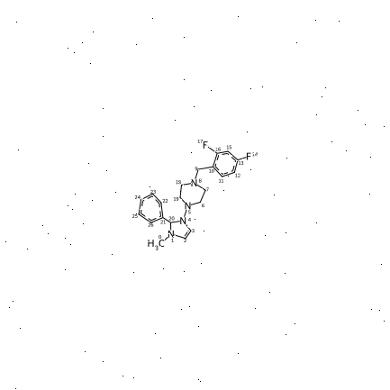 CN1C=CN(N2CCN(Cc3ccc(F)cc3F)CC2)C1c1ccccc1